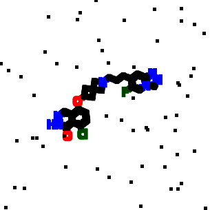 O=c1[nH]ncc2c(OC3CC4(C3)CN(CCCc3cc5nncn5cc3F)C4)ccc(Cl)c12